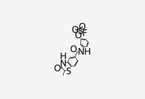 CC1Sc2ccc(C(=O)Nc3cccc(OS(=O)(=O)F)c3)cc2NC1=O